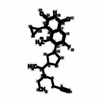 CCN(CCC#N)C(C)C1CCN(c2c(F)cc3c(=O)[nH]c(=O)n(C4CC4)c3c2C)C1